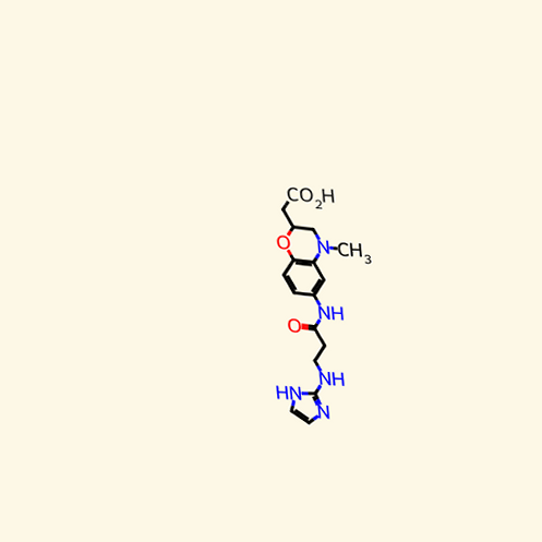 CN1CC(CC(=O)O)Oc2ccc(NC(=O)CCNc3ncc[nH]3)cc21